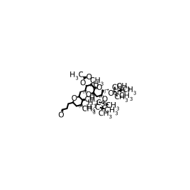 C=C1C(C[C@@H]2O[C@H]3C[C@@H](O[Si](C)(C)C(C)(C)C)[C@@H](CO[Si](C)(C)C(C)(C)C)O[C@H]3[C@H](C)C2OC(C)=O)OC(CCC=O)C[C@H]1C